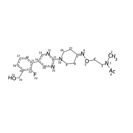 CC(=O)N(C)CCON=C1CCN(c2ncc(-c3cccc(CO)c3F)cn2)CC1